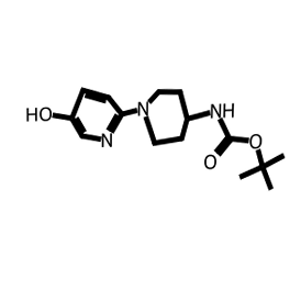 CC(C)(C)OC(=O)NC1CCN(c2ccc(O)cn2)CC1